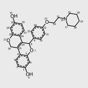 Oc1ccc2c(c1)OC(c1ccc(OCCN3CCCCC3)cc1)C1=C2COc2cc(O)ccc21